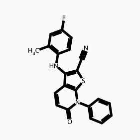 Cc1cc(F)ccc1Nc1c(C#N)sc2c1ccc(=O)n2-c1ccccc1